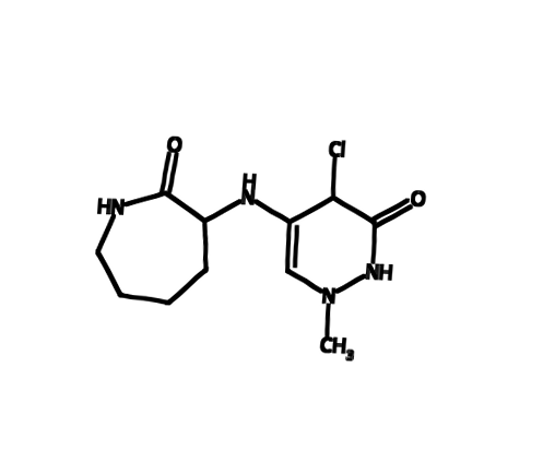 CN1C=C(NC2CCCCNC2=O)C(Cl)C(=O)N1